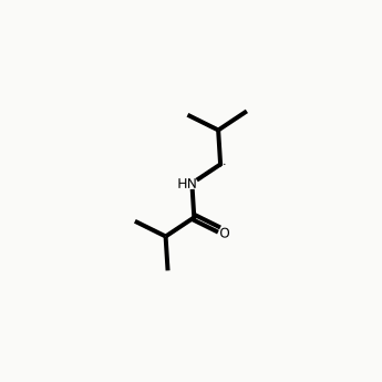 CC(C)[CH]NC(=O)C(C)C